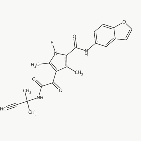 C#CC(C)(C)NC(=O)C(=O)c1c(C)c(C(=O)Nc2ccc3occc3c2)n(F)c1C